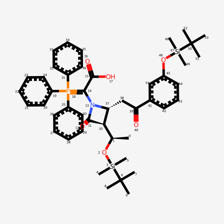 C[C@@H](O[Si](C)(C)C(C)(C)C)[C@H]1C(=O)N(C(C(=O)O)=P(c2ccccc2)(c2ccccc2)c2ccccc2)[C@@H]1CC(=O)c1cccc(O[Si](C)(C)C(C)(C)C)c1